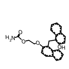 NC(=O)OCCOc1ccc2ccccc2c1Cc1c(O)ccc2ccccc12